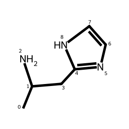 CC(N)Cc1ncc[nH]1